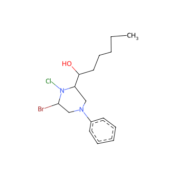 CCCCCC(O)C1CN(c2ccccc2)CC(Br)N1Cl